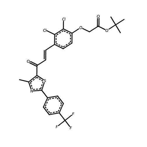 Cc1nc(-c2ccc(C(F)(F)F)cc2)sc1C(=O)/C=C/c1ccc(OCC(=O)OC(C)(C)C)c(Cl)c1Cl